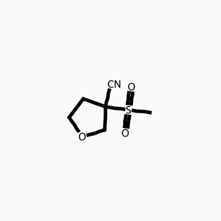 CS(=O)(=O)C1(C#N)CCOC1